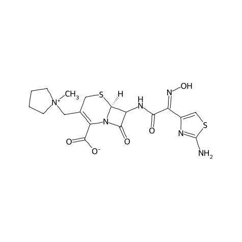 C[N+]1(CC2=C(C(=O)[O-])N3C(=O)C(NC(=O)C(=NO)c4csc(N)n4)[C@@H]3SC2)CCCC1